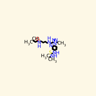 Cc1nnc2c(NCCCCNC(=O)CC(C)C)nc3cc(NC(=S)NC(C)C)ccc3n12